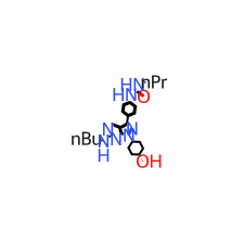 CCCCNc1ncc2c(-c3ccc(NC(=O)NCCC)cc3)nn([C@H]3CC[C@@H](O)CC3)c2n1